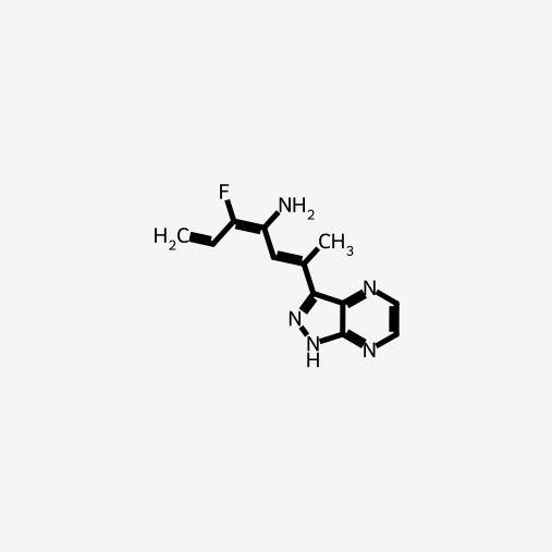 C=C/C(F)=C(N)\C=C(/C)c1n[nH]c2nccnc12